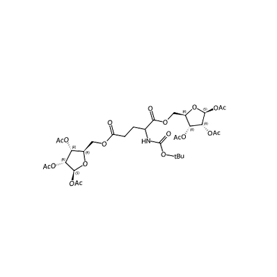 CC(=O)O[C@@H]1O[C@H](COC(=O)CCC(NC(=O)OC(C)(C)C)C(=O)OC[C@H]2O[C@@H](OC(C)=O)[C@H](OC(C)=O)[C@@H]2OC(C)=O)[C@@H](OC(C)=O)[C@H]1OC(C)=O